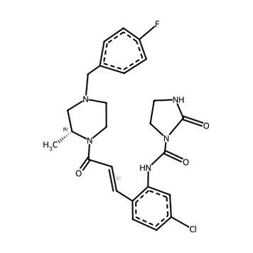 C[C@@H]1CN(Cc2ccc(F)cc2)CCN1C(=O)/C=C/c1ccc(Cl)cc1NC(=O)N1CCNC1=O